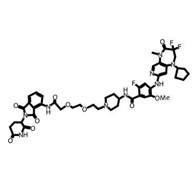 COc1cc(C(=O)NC2CCN(CCOCCOCC(=O)Nc3cccc4c3C(=O)N(C3CCC(=O)NC3=O)C4=O)CC2)c(F)cc1Nc1cc2c(cn1)N(C)C(=O)C(F)(F)CN2C1CCCC1